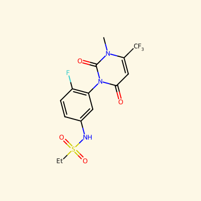 CCS(=O)(=O)Nc1ccc(F)c(-n2c(=O)cc(C(F)(F)F)n(C)c2=O)c1